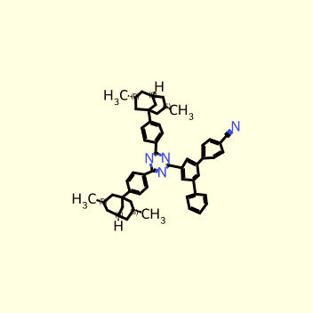 C[C@@H]1C[C@@H]2C[C@H](C)CC(c3ccc(-c4nc(-c5ccc(C67C[C@H](C)C[C@H](C[C@H](C)C6)C7)cc5)nc(-c5cc(-c6ccccc6)cc(-c6ccc(C#N)cc6)c5)n4)cc3)(C1)C2